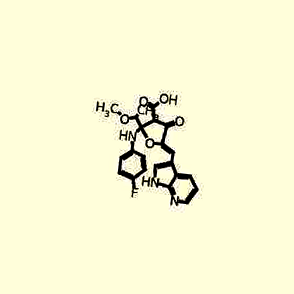 COC(C)C1(Nc2ccc(F)cc2)O/C(=C\c2c[nH]c3ncccc23)C(=O)C1C(=O)O